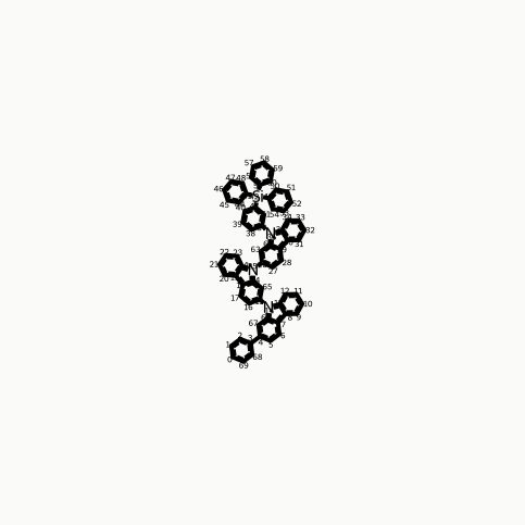 c1ccc(-c2ccc3c4ccccc4n(-c4ccc5c6ccccc6n(-c6ccc7c8ccccc8n(-c8cccc([Si](c9ccccc9)(c9ccccc9)c9ccccc9)c8)c7c6)c5c4)c3c2)cc1